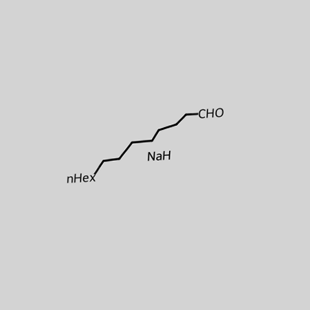 CCCCCCCCCCCCCC=O.[NaH]